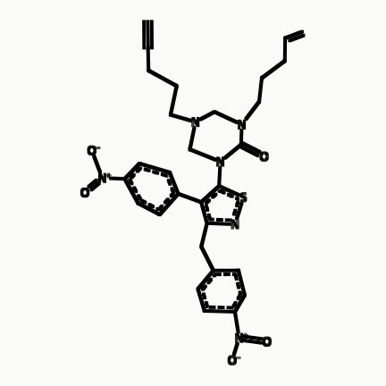 C#CCCCN1CN(CCCC=C)C(=O)N(c2snc(Cc3ccc([N+](=O)[O-])cc3)c2-c2ccc([N+](=O)[O-])cc2)C1